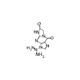 NN(N)n1cnc2c(=O)n3c(nc21)NC(=O)C3